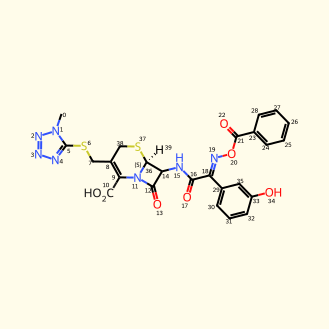 Cn1nnnc1SCC1=C(C(=O)O)N2C(=O)C(NC(=O)C(=NOC(=O)c3ccccc3)c3cccc(O)c3)[C@@H]2SC1